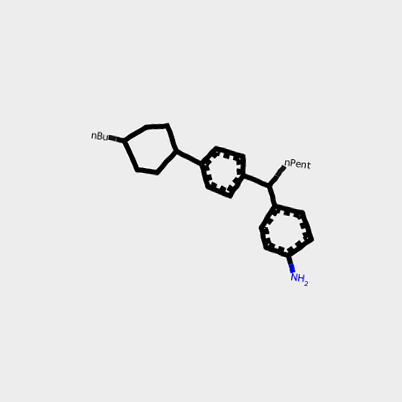 CCCCCC(c1ccc(N)cc1)c1ccc(C2CCC(CCCC)CC2)cc1